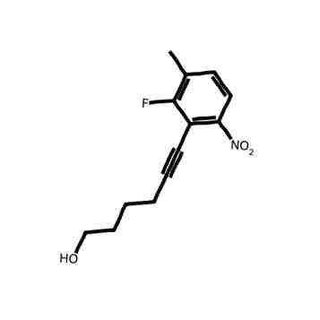 Cc1ccc([N+](=O)[O-])c(C#CCCCCO)c1F